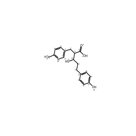 Nc1ccc(CC(C(=O)O)C(S)CCc2ccc(O)cc2)cn1